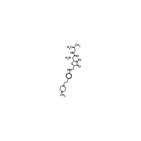 C=C(C)CNC(=O)[C@@H](N)C1S[C@H](CNc2ccc(CCN3CCN(C)CC3)cc2)C(=O)N1CC